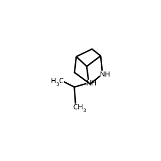 CC(C)NC1C2CCNC1C2